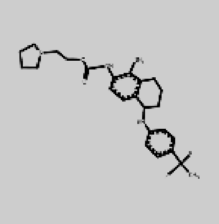 CC(F)(F)c1ccc(NC2CCCc3c2ccc(NC(=O)OCCN2CCCC2)c3N)cc1